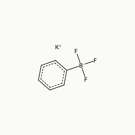 F[B-](F)(F)c1ccccc1.[K+]